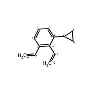 C=[C]c1cccc(C2CC2)c1C=C